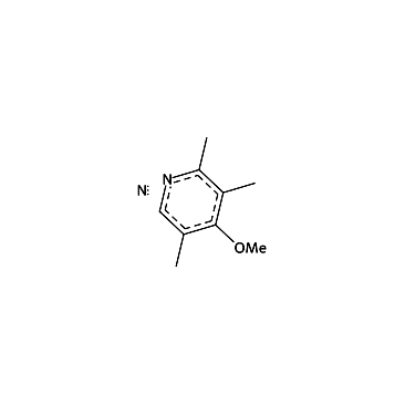 COc1c(C)cnc(C)c1C.[N]